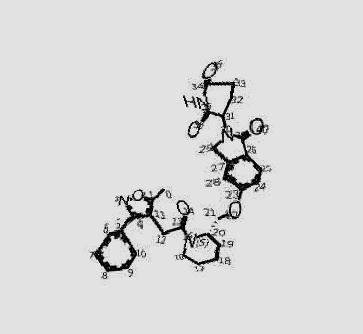 Cc1onc(-c2ccccc2)c1CC(=O)N1CCCC[C@H]1COc1ccc2c(c1)CN(C1CCC(=O)NC1=O)C2=O